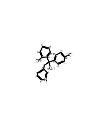 OC(Cc1cccnc1)(c1ccc(Cl)cc1)c1ccccc1Cl